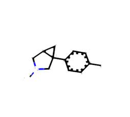 CC(=O)N1CC2CC2(c2ccc(C)cc2)C1